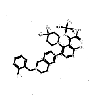 Cc1ccccc1CN1CCc2cc(-c3cnc(C)c(C(OC(C)(C)C)C(=O)O)c3N3CCC(C)(C)CC3)ccc2C1